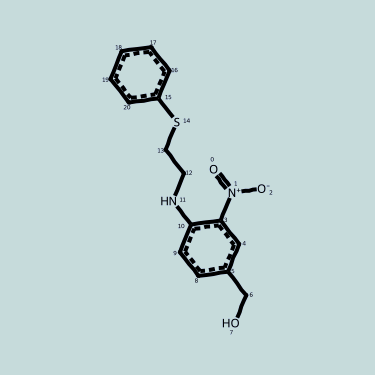 O=[N+]([O-])c1cc(CO)ccc1NCCSc1ccccc1